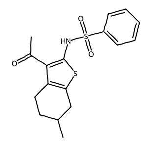 CC(=O)c1c(NS(=O)(=O)c2ccccc2)sc2c1CCC(C)C2